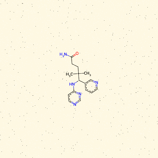 CC(C)(CCC(N)=O)C(Nc1ccncn1)c1cccnc1